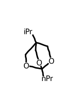 CCCC12OCC(C(C)C)(CO1)CO2